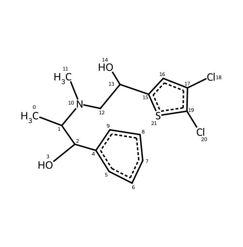 CC(C(O)c1ccccc1)N(C)CC(O)c1cc(Cl)c(Cl)s1